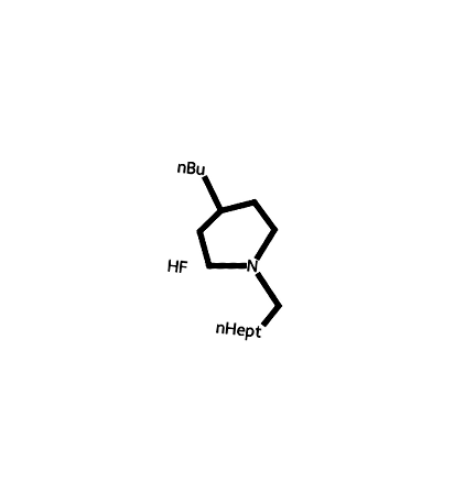 CCCCCCCCN1CCC(CCCC)CC1.F